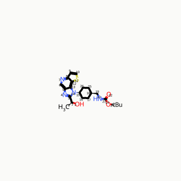 C[C@@H](O)c1nc2cnc3ccsc3c2n1[C@H]1CC[C@H](CNC(=O)OC(C)(C)C)CC1